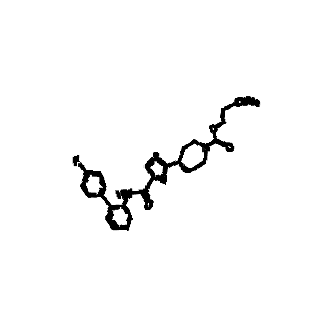 COCCOC(=O)N1CCC(c2nc(C(=O)Nc3ccccc3-c3ccc(F)cc3)cs2)CC1